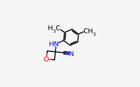 Cc1ccc(NC2(C#N)COC2)c(C)c1